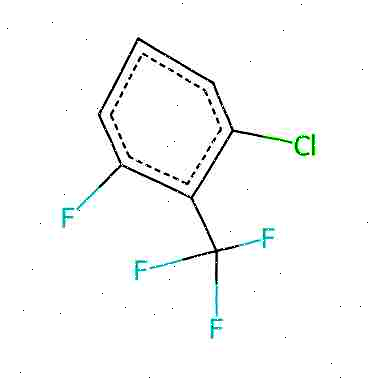 Fc1cccc(Cl)c1C(F)(F)F